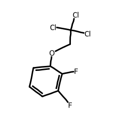 Fc1cccc(OCC(Cl)(Cl)Cl)c1F